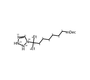 CCCCCCCCCCCCCCCCC(CC)(CC)N1C=NNN1